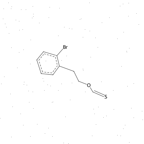 S=COCCc1ccccc1Br